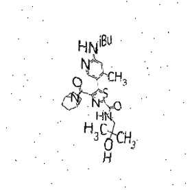 CC[C@@H](C)Nc1cc(C)c(-c2sc(C(=O)NCC(C)(C)O)nc2C(=O)N2C3CCC2CC3)cn1